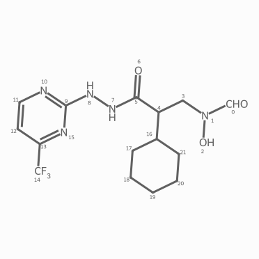 O=CN(O)CC(C(=O)NNc1nccc(C(F)(F)F)n1)C1CCCCC1